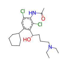 CCN(CC)CCCC(O)c1c(C2CCCCC2)cc(Cl)c(NC(C)=O)c1Cl